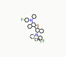 CC1C=CC=CC1N(c1ccc(F)cc1)c1cc2c(sc3cc(N(c4ccccc4)c4ccc(F)cc4)c4ccccc4c32)c2ccccc12